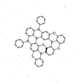 c1ccc(N2c3cc4c(cc3B3c5c2cccc5N(c2ccccc2)c2cc5c6c(c23)Sc2ccccc2B6c2ccccc2S5)B2c3ccccc3Sc3cccc(c32)O4)cc1